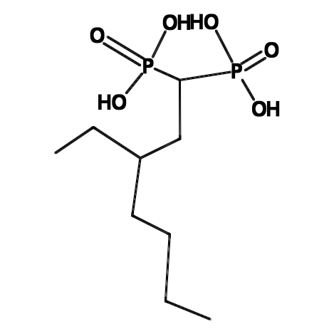 CCCCC(CC)CC(P(=O)(O)O)P(=O)(O)O